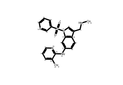 CNCc1cn(S(=O)(=O)c2cccnc2)c2cc(Nc3ncccc3C)ccc12